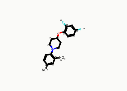 N#Cc1ccc(N2CCC(Oc3ccc(F)cc3F)CC2)c([N+](=O)[O-])c1